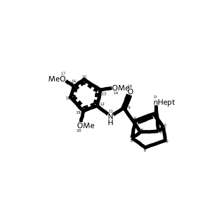 CCCCCCCC1C2C=CC(CC2)C1C(=O)Nc1c(OC)cc(OC)cc1OC